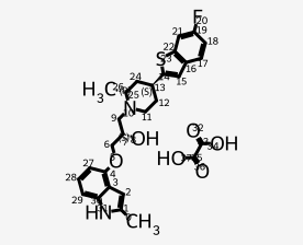 Cc1cc2c(OC[C@@H](O)CN3CC[C@H](c4cc5ccc(F)cc5s4)C[C@H]3C)cccc2[nH]1.O=C(O)C(=O)O